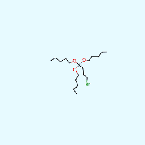 CCCCCO[Si](CCCBr)(OCCCCC)OCCCCC